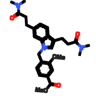 COC(=O)c1ccc(Cn2cc(CCC(=O)N(C)C)c3ccc(CCC(=O)N(C)C)cc32)c(OC)c1